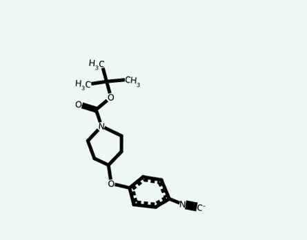 [C-]#[N+]c1ccc(OC2CCN(C(=O)OC(C)(C)C)CC2)cc1